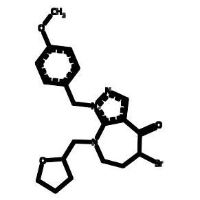 COc1ccc(Cn2ncc3c2N(CC2CCCO2)CCC(Br)C3=O)cc1